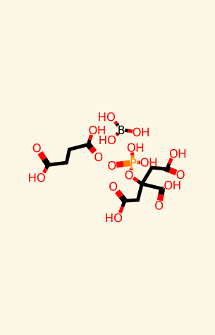 O=C(O)CC(CC(=O)O)(OP(=O)(O)O)C(=O)O.O=C(O)CCC(=O)O.OB(O)O